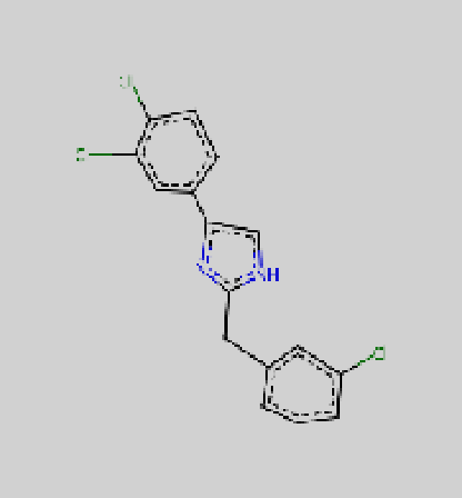 Clc1cccc(Cc2nc(-c3ccc(Cl)c(Cl)c3)c[nH]2)c1